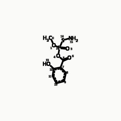 COP(=O)(OC(=O)c1ccccc1O)SN